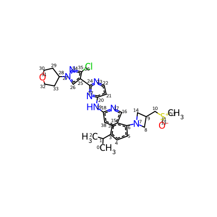 CC(C)c1ccc(N2CC(C[S+](C)[O-])C2)c2cnc(Nc3ccnc(-c4cn(C5CCOCC5)nc4Cl)n3)cc12